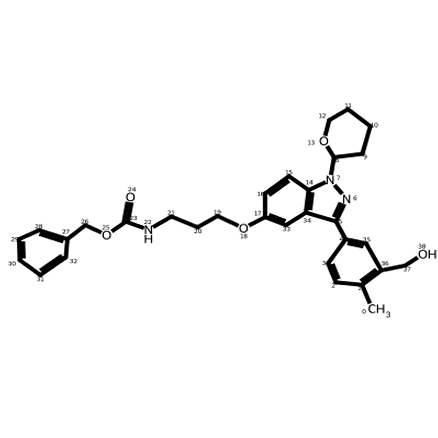 Cc1ccc(-c2nn(C3CCCCO3)c3ccc(OCCCNC(=O)OCc4ccccc4)cc23)cc1CO